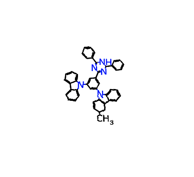 CC1C=Cc2c(c3ccccc3n2-c2cc(C3=NC(c4ccccc4)NC(c4ccccc4)=N3)cc(-n3c4ccccc4c4ccccc43)c2)C1